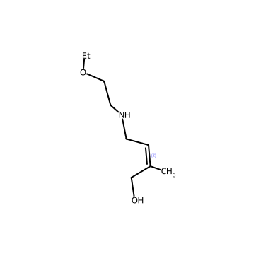 CCOCCNC/C=C(/C)CO